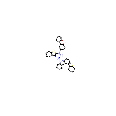 c1ccc2c(c1)oc1ccc(-c3nc(-n4c5ccccc5c5c6c(ccc54)sc4ccccc46)nc4c3sc3ccccc34)cc12